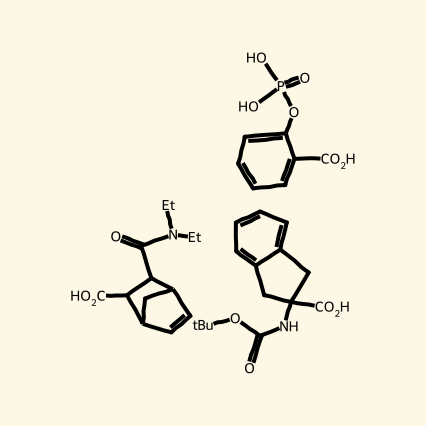 CC(C)(C)OC(=O)NC1(C(=O)O)Cc2ccccc2C1.CCN(CC)C(=O)C1C2C=CC(C2)C1C(=O)O.O=C(O)c1ccccc1OP(=O)(O)O